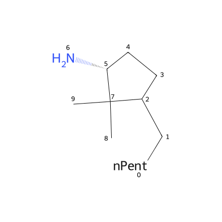 CCCCCCC1CC[C@@H](N)C1(C)C